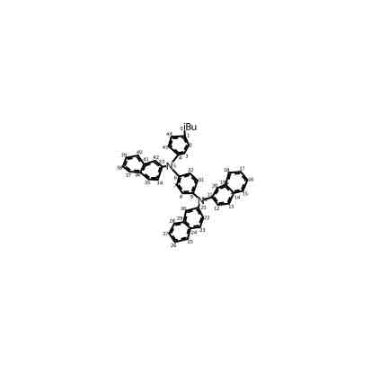 CCC(C)c1ccc(N(c2ccc(N(c3ccc4ccccc4c3)c3ccc4ccccc4c3)cc2)c2ccc3ccccc3c2)cc1